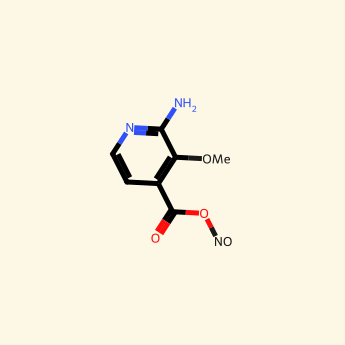 COc1c(C(=O)ON=O)ccnc1N